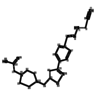 C#CCNN=Cc1ccc(C2=NOC(CN3CCN(CC(=O)O)CC3)C2)cc1